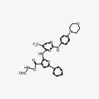 O=CNOC(=O)c1cc(-c2ccccc2)sc1Nc1nc(Nc2ccc(N3CCOCC3)cc2)ncc1C(F)(F)F